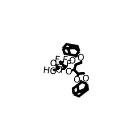 O=S(=O)(O)C(F)(F)C(F)(F)OC(C1COC2(O1)C1CC3CC(C1)CC2C3)C1COC2(O1)C1CC3CC(C1)CC2C3